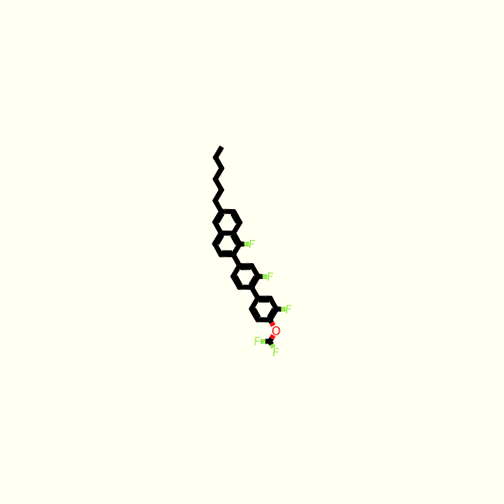 CCCCCCc1ccc2c(F)c(-c3ccc(-c4ccc(OC(F)F)c(F)c4)c(F)c3)ccc2c1